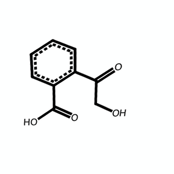 O=C(O)c1ccccc1C(=O)CO